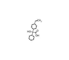 C=Cc1ccc(C(O)(C(=O)O)c2ccccc2)cc1